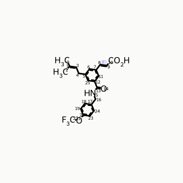 CC(C)=CCc1cc(/C=C/C(=O)O)cc(C(=O)NCc2ccc(OC(F)(F)F)cc2)c1